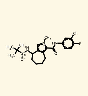 Cn1cc2c(c1C(=O)Nc1ccc(F)c(Cl)c1)CCCCC2N[S@@+]([O-])C(C)(C)C